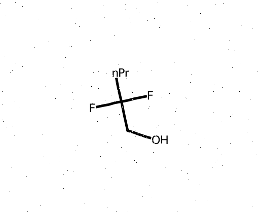 CCCC(F)(F)CO